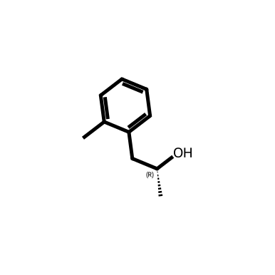 Cc1ccccc1C[C@@H](C)O